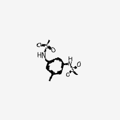 Cc1cc(NS(C)(=O)=O)cc(NS(C)(=O)=O)c1